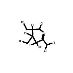 OCC1(Cl)C(Cl)N=C(C(Cl)Cl)C(O)(Cl)C1(Cl)CO